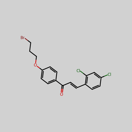 O=C(/C=C/c1ccc(Cl)cc1Cl)c1ccc(OCCCBr)cc1